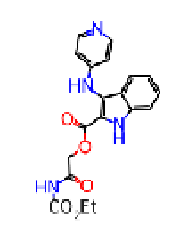 CCOC(=O)NC(=O)COC(=O)c1[nH]c2ccccc2c1Nc1ccncc1